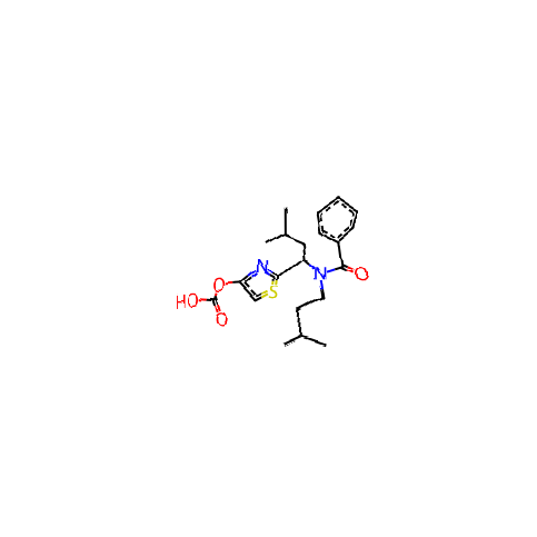 CC(C)CCN(C(=O)c1ccccc1)C(CC(C)C)c1nc(OC(=O)O)cs1